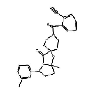 C#Cc1ccccc1C(=O)N1CCC2(CC1)OC1(C)CCC(c3cccc(C)c3)N1C2=O